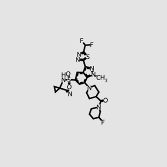 Cn1nc(-c2nnc(C(F)F)s2)c2cc(S(=O)(=O)NC3(C#N)CC3)cc(N3CCC(C(=O)N4CCCC(F)C4)CC3)c21